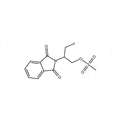 CS(=O)(=O)OCC(CI)N1C(=O)c2ccccc2C1=O